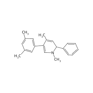 CC1=CC(c2ccccc2)N(C)C=C1c1cc(C)cc(C)c1